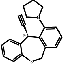 C#C[C@@H]1c2ccccc2SCc2cccc(N3CCCC3)c21